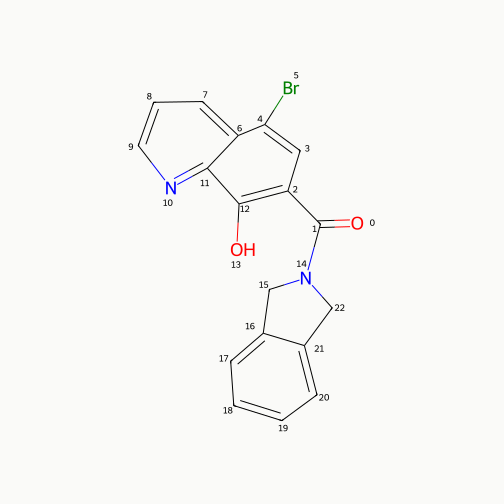 O=C(c1cc(Br)c2cccnc2c1O)N1Cc2ccccc2C1